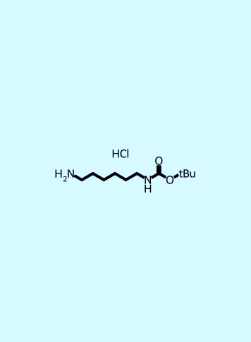 CC(C)(C)OC(=O)NCCCCCCN.Cl